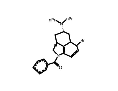 CCCN(CCC)[C@@H]1CC2C3=C(C=CC2Br)N(C(=O)c2ccccc2)C[C@@H]3C1